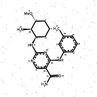 CO[C@@H]1CCC[C@@H](Nc2ncc(C(N)=O)c(Nc3cccc(C)c3)n2)[C@H]1N